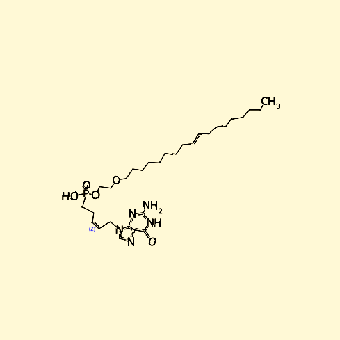 CCCCCCCCC=CCCCCCCCCOCCOP(=O)(O)CC/C=C\Cn1cnc2c(=O)[nH]c(N)nc21